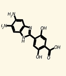 Nc1cc2nc(-c3cc(O)c(C(=O)O)cc3O)[nH]c2cc1N